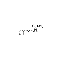 CN(C[CH]CCc1ccccc1)C(N)=O